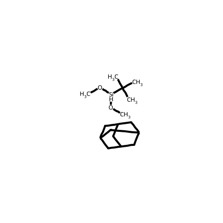 C1C2CC3CC1CC(C2)C3.CO[SiH](OC)C(C)(C)C